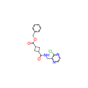 O=C(NCc1nccnc1Cl)C1CC(C(=O)OCc2ccccc2)C1